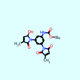 CC1=CC(=O)N(c2cc(NC(=O)OC(C)(C)C)cc(N3C(=O)C(C)=CC3O)c2)C1=O